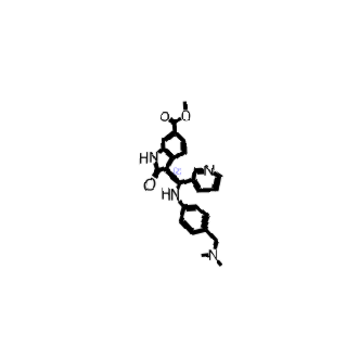 COC(=O)c1ccc2c(c1)NC(=O)/C2=C(\Nc1ccc(CN(C)C)cc1)c1cccnc1